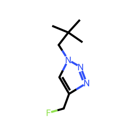 CC(C)(C)Cn1cc(CF)nn1